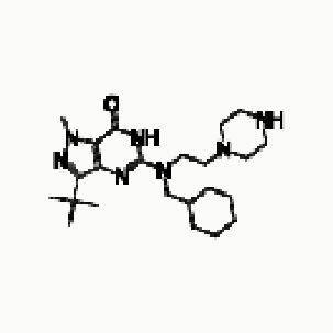 Cn1nc(C(C)(C)C)c2nc(N(CCN3CCNCC3)CC3CCCCC3)[nH]c(=O)c21